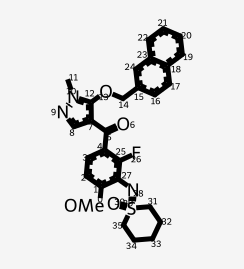 COc1ccc(C(=O)c2cnn(C)c2OCc2ccc3ccccc3c2)c(F)c1N=S1(=O)CCCCC1